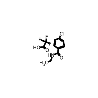 CCNC(=O)c1ccc(Cl)cc1.O=C(O)C(F)(F)F